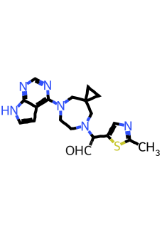 Cc1ncc(C(C=O)N2CCN(c3ncnc4[nH]ccc34)CC3(CC3)C2)s1